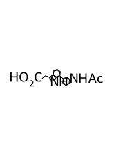 CC(=O)Nc1cccc(-c2cccc3c(CCC(=O)O)c[nH]c23)c1